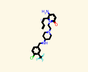 C=C/C=C\c1c(N)ccc(=O)n1CCN1CCC(NCc2ccc(Cl)c(C(F)(F)F)c2)CC1